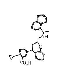 C[C@@H](NC[C@H]1C[C@H](c2ccc(C3CC3)c(C(=O)O)c2)c2ccccc2O1)c1cccc2ccccc12